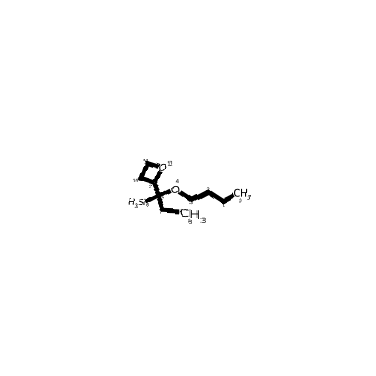 CCCCOC([SiH3])(CC)C1CCO1